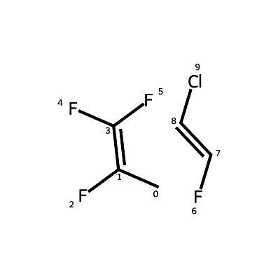 CC(F)=C(F)F.FC=CCl